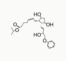 CC(C)OC(=O)CCC/C=C\C[C@@H]1[C@@H](/C=C/C(O)COc2ccccc2)[C@H](O)C[C@@H]1O